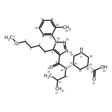 COCCCCc1c(C(=O)N(CC(C)C)[C@@H]2CNC[C@H](C(=O)O)C2)nnn1-c1ccccc1C